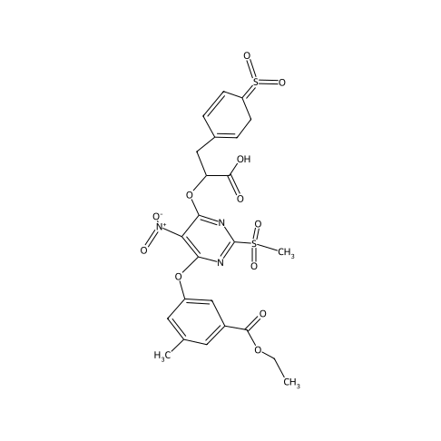 CCOC(=O)c1cc(C)cc(Oc2nc(S(C)(=O)=O)nc(OC(CC3=CCC(=S(=O)=O)C=C3)C(=O)O)c2[N+](=O)[O-])c1